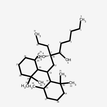 CCCCCC(O)[C@](O)(CCC)CC(C1C(C)CCCC1(C)C)C1C(C)CCCC1(C)C